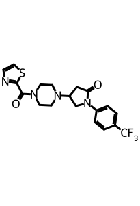 O=C(c1nccs1)N1CCN(C2CC(=O)N(c3ccc(C(F)(F)F)cc3)C2)CC1